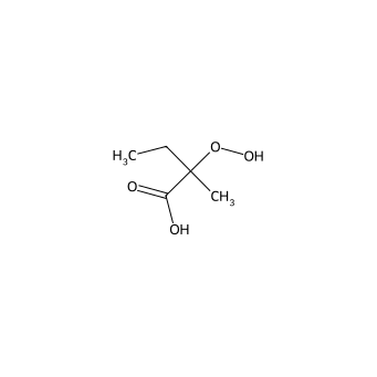 CCC(C)(OO)C(=O)O